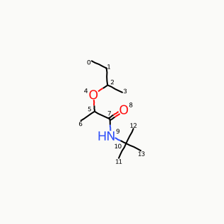 CCC(C)OC(C)C(=O)NC(C)(C)C